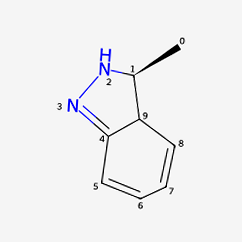 C[C@@H]1NN=C2C=CC=CC21